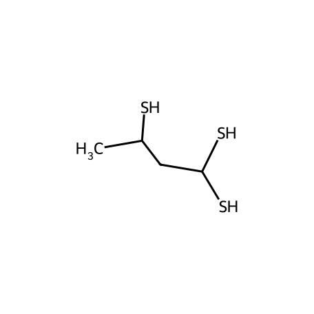 CC(S)CC(S)S